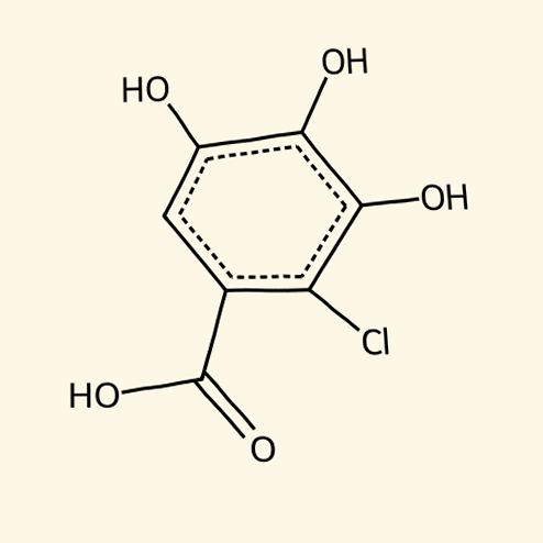 O=C(O)c1cc(O)c(O)c(O)c1Cl